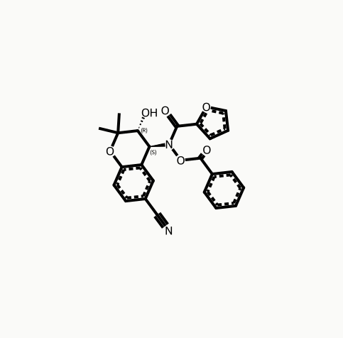 CC1(C)Oc2ccc(C#N)cc2[C@H](N(OC(=O)c2ccccc2)C(=O)c2ccco2)[C@H]1O